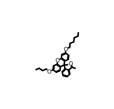 CCCCCCOc1ccc2c(c1)Oc1cc(OCCCC)ccc1C2(C)c1ccccc1C(C)=O